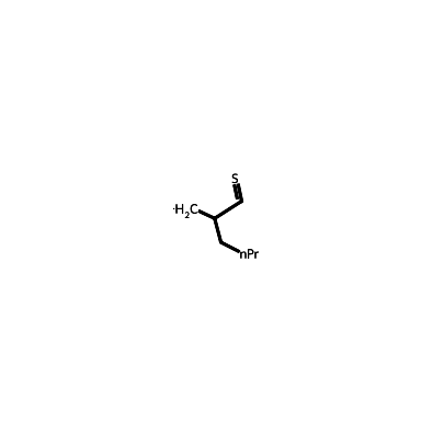 [CH2]C(C=S)CCCC